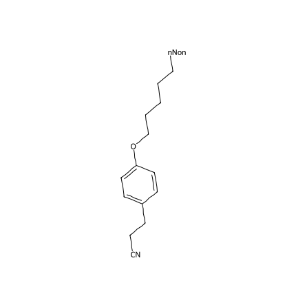 CCCCCCCCCCCCCCOc1ccc(CCC#N)cc1